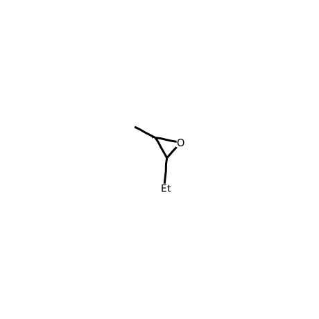 CCC1O[C]1C